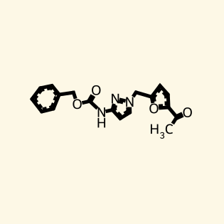 CC(=O)c1ccc(Cn2ccc(NC(=O)OCc3ccccc3)n2)o1